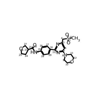 CS(=O)(=O)Cc1cc(N2CCOCC2)nc(-c2ccc(NC(=O)C3CCOC3)cc2)n1